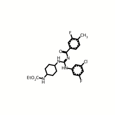 CCOC(=O)NC1CCC(N/C(=N\C(=O)c2ccc(C)c(F)c2)Nc2cc(F)cc(Cl)c2)CC1